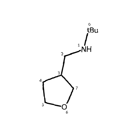 CC(C)(C)NCC1CCOC1